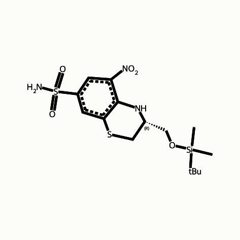 CC(C)(C)[Si](C)(C)OC[C@@H]1CSc2cc(S(N)(=O)=O)cc([N+](=O)[O-])c2N1